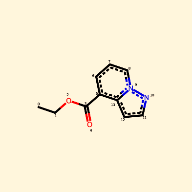 CCOC(=O)c1cccn2nccc12